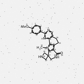 COc1ccc(-c2ncc3c(n2)-c2c(c4c(n2C)C2(CNC2)CNC4=O)CC3)cc1